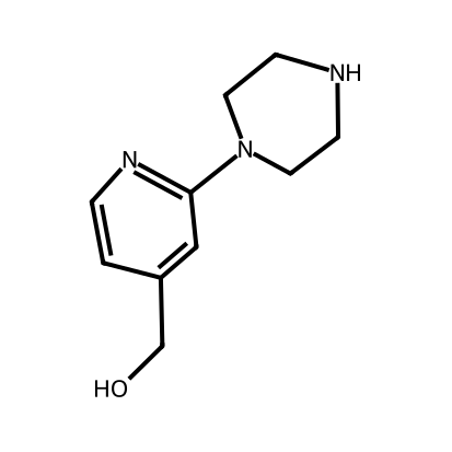 OCc1ccnc(N2CCNCC2)c1